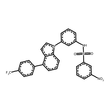 O=[N+]([O-])c1cccc(S(=O)(=O)Nc2cccc(-n3ccc4c(-c5ccc(C(F)(F)F)cc5)cccc43)c2)c1